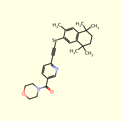 Cc1cc2c(cc1[Se]C#Cc1ccc(C(=O)N3CCOCC3)cn1)C(C)(C)CCC2(C)C